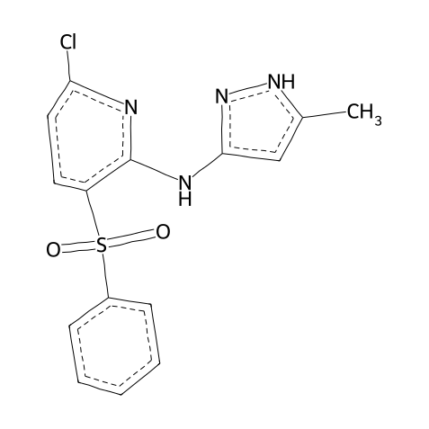 Cc1cc(Nc2nc(Cl)ccc2S(=O)(=O)c2ccccc2)n[nH]1